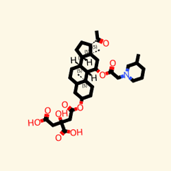 CC(=O)[C@H]1CC[C@H]2[C@@H]3CCC4CC(OC(=O)CC(O)(CC(=O)O)C(=O)O)CC[C@]4(C)[C@H]3C(OC(=O)CN3CCCC(C)C3)C[C@]12C